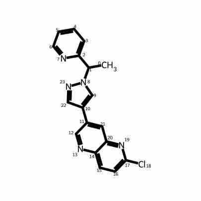 CC(c1ccccn1)n1cc(-c2cnc3ccc(Cl)nc3c2)cn1